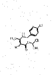 CC(NCc1ccc(Cl)cc1)=C(C#N)C(=O)OC(C)C#N